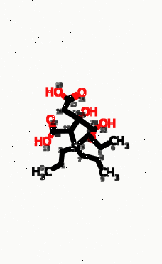 CCC[Si](CCC)(CCC)C(C(=O)O)C(O)(CC(=O)O)C(=O)O